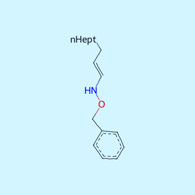 CCCCCCCCC=CNOCc1ccccc1